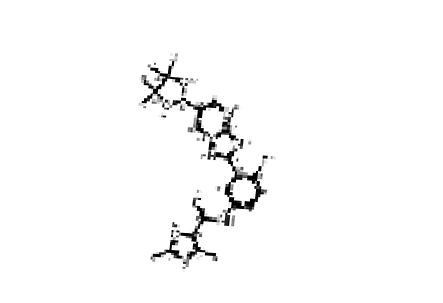 Cc1nc(C)c(C(=O)Nc2ccc(F)c(-c3nc4ncc(B5OC(C)(C)C(C)(C)O5)cn4n3)c2)o1